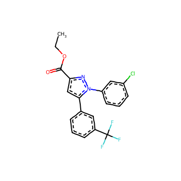 CCOC(=O)c1cc(-c2cccc(C(F)(F)F)c2)n(-c2cccc(Cl)c2)n1